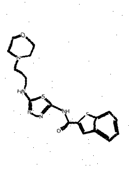 O=C(Nc1nnc(NCCN2CCOCC2)s1)c1cc2ccccc2s1